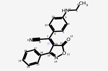 CCNc1ccc(/C(C#N)=C2\C(=O)ON=C2c2ccccc2)cc1